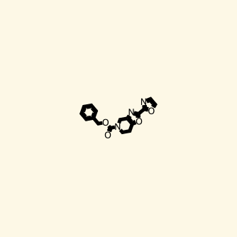 O=C(OCc1ccccc1)N1CCc2oc(-c3ncco3)nc2C1